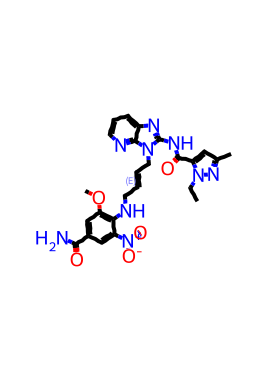 CCn1nc(C)cc1C(=O)Nc1nc2cccnc2n1C/C=C/CNc1c(OC)cc(C(N)=O)cc1[N+](=O)[O-]